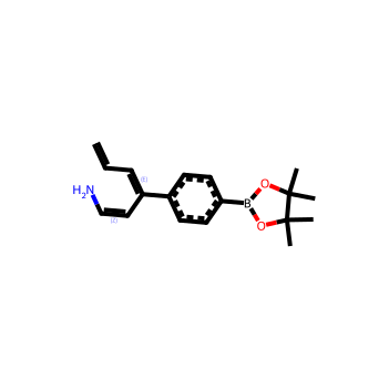 C=C/C=C(\C=C/N)c1ccc(B2OC(C)(C)C(C)(C)O2)cc1